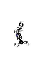 O=C(/C=C\n1cnc(-c2cc(C(F)(F)F)cc(C(F)(F)F)c2)n1)NNC(=O)CN1CCOCC1